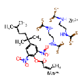 C/C=C\C(=O)Oc1c([N+](=O)[O-])cc(C(C)(C)CCC(C)C)cc1[N+](=O)[O-].S=C([S-])NCCNC(=S)[S-].S=C([S-])NCCNC(=S)[S-].[Mn+2].[Zn+2]